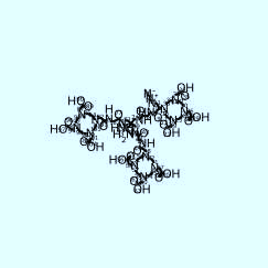 CC(CNC(=O)CNC(=O)C(CN=[N+]=[N-])N1CCN(CC(=O)O)CCN(CC(=O)O)CCN(CC(=O)O)CC1)(CN(N)C(=O)CNC(=O)CN1CCN(CC(=O)O)CCN(CC(=O)O)CCN(CC(=O)O)CC1)CN(N)C(=O)CNC(=O)CN1CCN(CC(=O)O)CCN(CC(=O)O)CCN(CC(=O)O)CC1